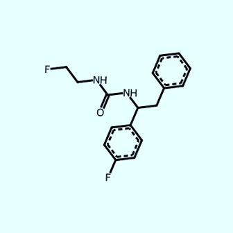 O=C(NCCF)NC(Cc1ccccc1)c1ccc(F)cc1